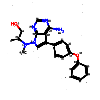 CC(=O)N([C@@H](C)CO)n1cc(-c2ccc(Oc3ccccc3)cc2)c2c(N)ncnc21